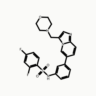 O=S(=O)(Nc1cccc(-c2ccc3ncc(CN4CCOCC4)n3c2)c1)c1ccc(F)cc1F